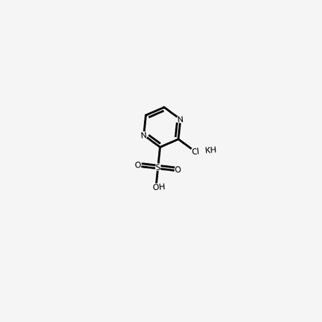 O=S(=O)(O)c1nccnc1Cl.[KH]